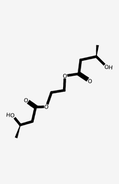 C[C@@H](O)CC(=O)OCCOC(=O)C[C@@H](C)O